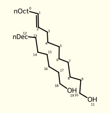 CCCCCCCCC=CCCCCCCCCO.CCCCCCCCCCCCCCCCO